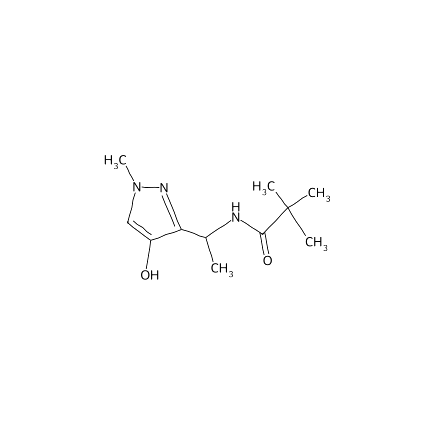 CC(NC(=O)C(C)(C)C)c1nn(C)cc1O